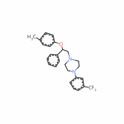 Cc1ccc(OC(CN2CCN(c3cccc(C(F)(F)F)c3)CC2)c2ccccc2)cc1